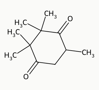 CC1CC(=O)C(C)(C)C(C)(C)C1=O